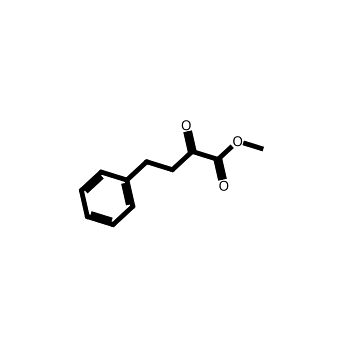 COC(=O)C(=O)CCc1ccccc1